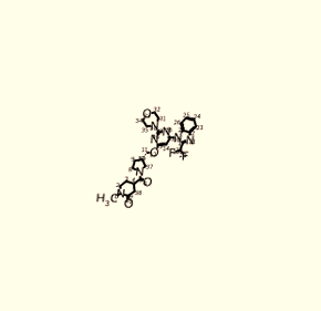 CN1CCC(C(=O)N2CC[C@H](COc3cc(-n4c(C(F)F)nc5ccccc54)nc(N4CCOCC4)n3)C2)CC1=O